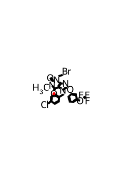 Cn1c(=O)c2c(nc(Oc3cccc(OC(F)(F)F)c3)n2Cc2ccc(Cl)cc2)n(CCBr)c1=O